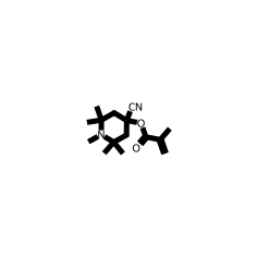 C=C(C)C(=O)OC1(C#N)CC(C)(C)N(C)C(C)(C)C1